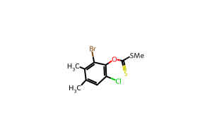 CSC(=S)Oc1c(Cl)cc(C)c(C)c1Br